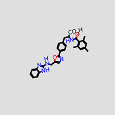 Cc1cc(C)c(C(=O)NC(Cc2ccc(-c3ncc(CNc4nc5ccccc5[nH]4)o3)cc2)C(=O)O)c(C)c1